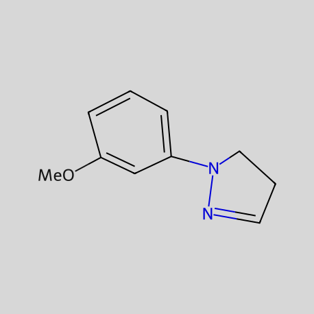 COc1cccc(N2CCC=N2)c1